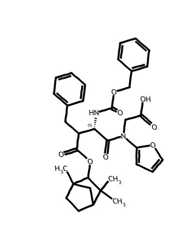 CC12CCC(C1)C(C)(C)C2OC(=O)C(Cc1ccccc1)[C@H](NC(=O)OCc1ccccc1)C(=O)N(CC(=O)O)c1ccco1